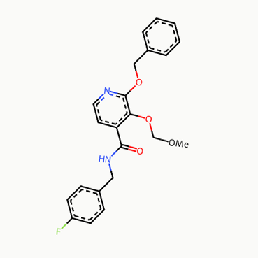 COCOc1c(C(=O)NCc2ccc(F)cc2)ccnc1OCc1ccccc1